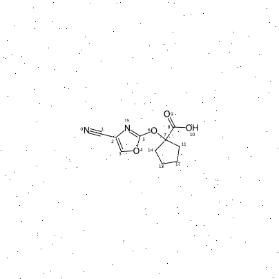 N#Cc1coc(OC2(C(=O)O)CCCC2)n1